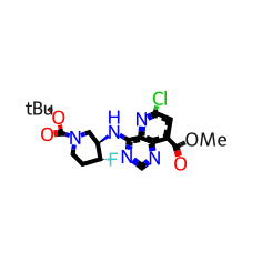 COC(=O)c1cc(Cl)nc2c(N[C@@H]3CN(C(=O)OC(C)(C)C)CC[C@H]3F)ncnc12